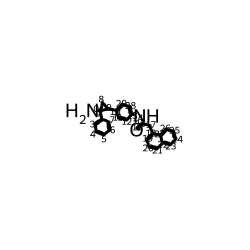 NC1(c2ccccc2)CC1c1ccc(NC(=O)Cc2cccc3ccccc23)cc1